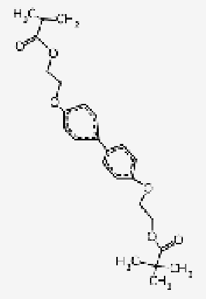 C=C(C)C(=O)OCCOc1ccc(-c2ccc(OCCOC(=O)C(C)(C)C)cc2)cc1